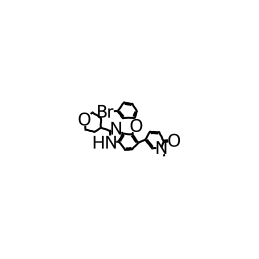 Cn1cc(-c2ccc3[nH]c(C4CCOCC4)nc3c2Oc2cccc(Br)c2)ccc1=O